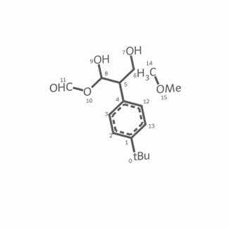 CC(C)(C)c1ccc(C(CO)C(O)OC=O)cc1.COC